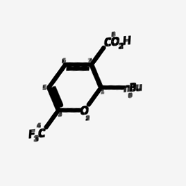 CCCCC1OC(C(F)(F)F)=CC=C1C(=O)O